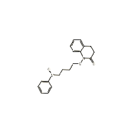 O=C1CCc2ccccc2N1OCCCC[S@+]([O-])c1ccccc1